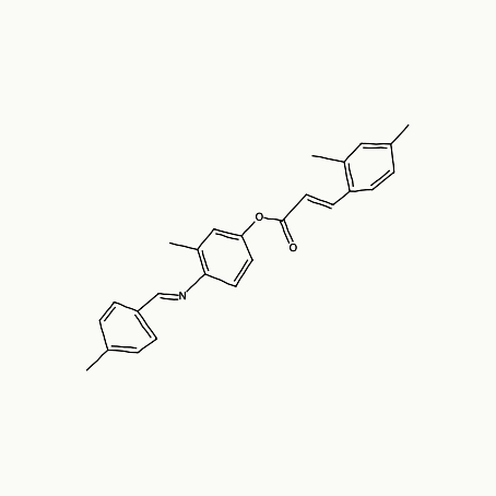 Cc1ccc(/C=N/c2ccc(OC(=O)/C=C/c3ccc(C)cc3C)cc2C)cc1